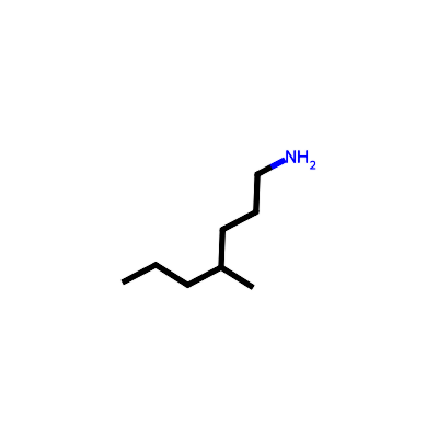 CCCC(C)CCCN